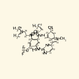 C=CC(=O)Nc1cc(Nc2nccc(-c3cn(C)c4cc(C#N)ccc34)n2)c(OC(F)F)cc1N(C)CCN(C)C